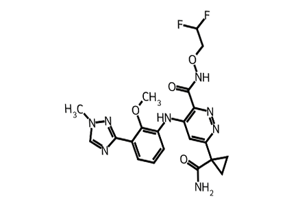 COc1c(Nc2cc(C3(C(N)=O)CC3)nnc2C(=O)NOCC(F)F)cccc1-c1ncn(C)n1